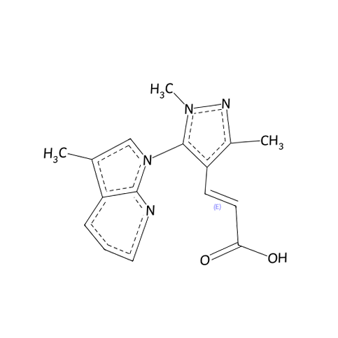 Cc1nn(C)c(-n2cc(C)c3cccnc32)c1/C=C/C(=O)O